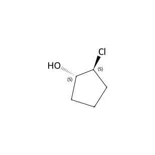 O[C@H]1CCC[C@@H]1Cl